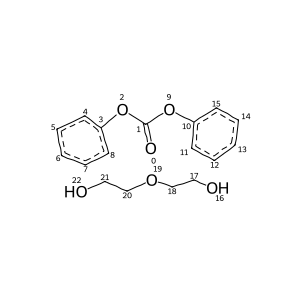 O=C(Oc1ccccc1)Oc1ccccc1.OCCOCCO